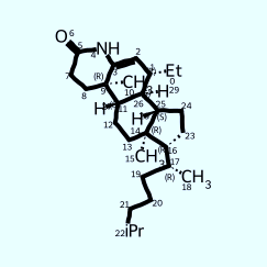 CC[C@H]1C=C2NC(=O)CC[C@]2(C)[C@H]2CC[C@]3(C)[C@@H]([C@H](C)CCCC(C)C)CC[C@H]3[C@H]12